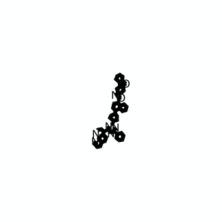 c1ccc(-c2nc(-c3ccc(-c4ccc(-c5nc6cc7c(cc6o5)oc5ccccc57)c5ccccc45)cc3)nc(-c3ccnc4c3ccc3cccnc34)n2)cc1